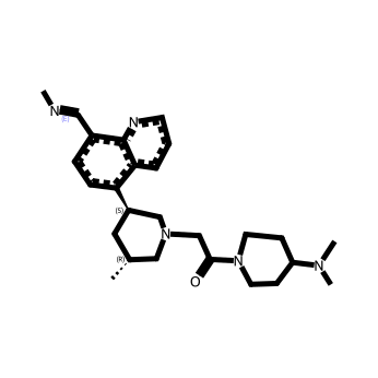 C/N=C/c1ccc([C@@H]2C[C@@H](C)CN(CC(=O)N3CCC(N(C)C)CC3)C2)c2cccnc12